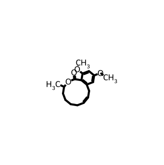 COc1cc2c(c(OC)c1)C(=O)OC(C)CCCCC=CC2